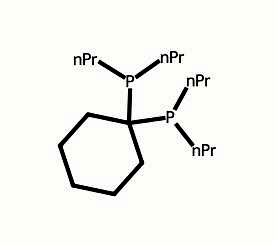 CCCP(CCC)C1(P(CCC)CCC)CCCCC1